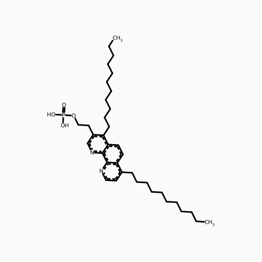 CCCCCCCCCCCc1ccnc2c1ccc1c(CCCCCCCCCCC)c(CCOP(=O)(O)O)cnc12